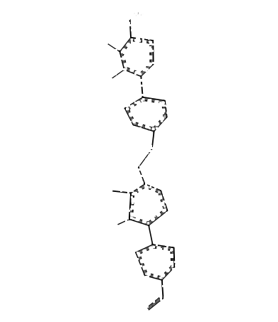 C=Cc1ccc(-c2ccc(CCc3ccc(-c4ccc(OC)c(F)c4F)cc3)c(F)c2F)cc1